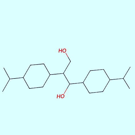 CC(C)C1CCC(C(O)C(CO)C2CCC(C(C)C)CC2)CC1